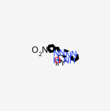 CC(C)NC1C(=C=O)N(c2cc3ccc([N+](=O)[O-])cc3[nH]2)CCN1c1ccccn1